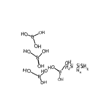 OB(O)O.OB(O)O.OB(O)O.OB(O)O.[SiH4].[SiH4].[SiH4]